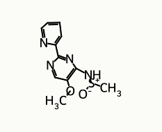 COc1cnc(-c2ccccn2)nc1N[S+](C)[O-]